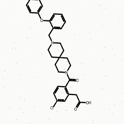 O=C(O)Cc1cc(Cl)ccc1C(=O)N1CCC2(CCN(Cc3ccccc3Oc3ccccc3)CC2)CC1